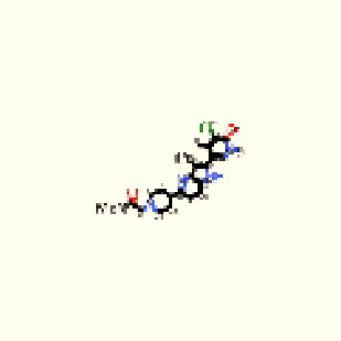 CNC(=O)CN1CCC(c2ccc3[nH]c(-c4cn(C)c(=O)c(Cl)c4C)c(C(C)C)c3n2)CC1